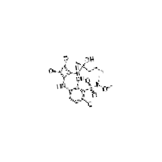 CCC[C@@](C)(O)Nc1c(Nc2ccc(Cl)c(S(=O)(=O)N(C)OC)c2O)c(=O)c1=O